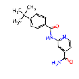 CC(C)(C)c1ccc(C(=O)Nc2cc(C(N)=O)ccn2)cc1